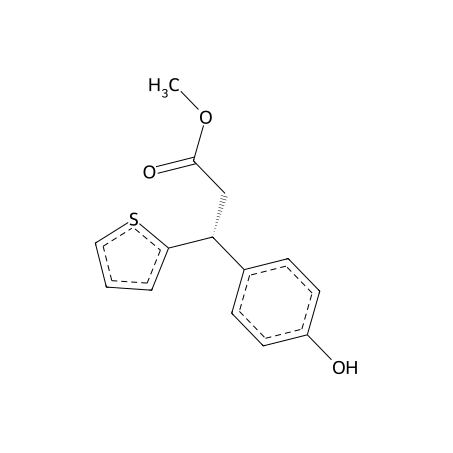 COC(=O)C[C@H](c1ccc(O)cc1)c1cccs1